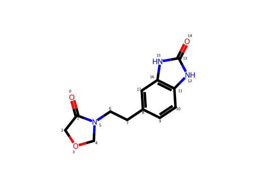 O=C1COCN1CCc1ccc2[nH]c(=O)[nH]c2c1